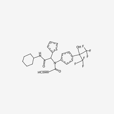 C#CC(=O)N(c1ccc(C(O)(C(F)(F)F)C(F)(F)F)cc1)C(C(=O)NC1CCCCC1)c1cccs1